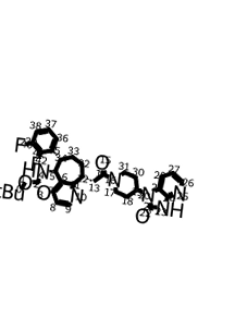 CC(C)(C)OC(=O)N[C@@H]1c2cccnc2[C@@H](CC(=O)N2CCC(n3c(=O)[nH]c4ncccc43)CC2)CC[C@H]1c1cccc(F)c1F